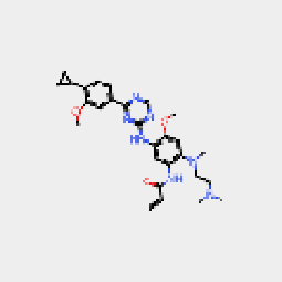 C=CC(=O)Nc1cc(Nc2ncnc(-c3ccc(C4CC4)c(OC)c3)n2)c(OC)cc1N(C)CCN(C)C